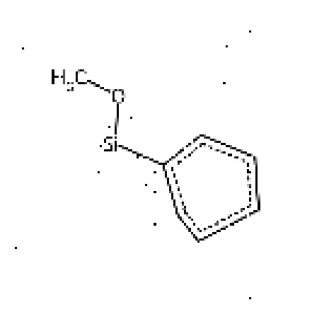 CO[Si]c1ccccc1